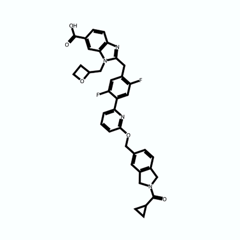 O=C(O)c1ccc2nc(Cc3cc(F)c(-c4cccc(OCc5ccc6c(c5)CN(C(=O)C5CC5)C6)n4)cc3F)n(CC3CCO3)c2c1